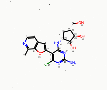 Cc1nccc2cc(-c3c(Cl)nc(N)nc3N[C@@H]3C[C@H](CO)[C@@H](O)[C@H]3O)oc12